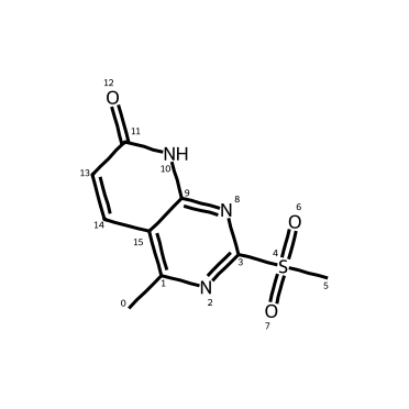 Cc1nc(S(C)(=O)=O)nc2[nH]c(=O)ccc12